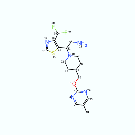 Cc1cnc(OCC2CCN(C(CN)c3scnc3C(F)F)CC2)nc1